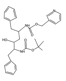 CC(C)(C)OC(=O)NC(Cc1ccccc1)C(O)CC(Cc1ccccc1)NC(=O)OCc1cccnc1